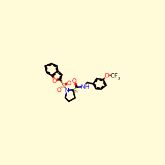 O=C(NCc1cccc(OC(F)(F)F)c1)[C@@H]1CCCN1S(=O)(=O)c1cc2ccccc2o1